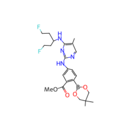 COC(=O)c1cc(Nc2ncc(C)c(NC(CCF)CCF)n2)ccc1B1OCC(C)(C)CO1